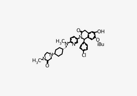 CC[C@@H](C)Oc1cc2c(cc1O)CC(=O)N(c1ccc(N(C)C[C@H]3CC[C@H](N4CCN(C)C(=O)C4)CC3)nc1)C2c1ccc(Cl)cc1